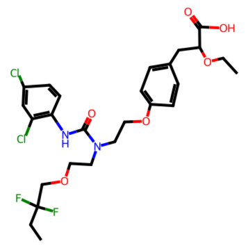 CCOC(Cc1ccc(OCCN(CCOCC(F)(F)CC)C(=O)Nc2ccc(Cl)cc2Cl)cc1)C(=O)O